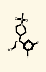 CS(=O)(=O)N1CCC([C@@H](CCO)c2cc(F)cc(F)c2)CC1